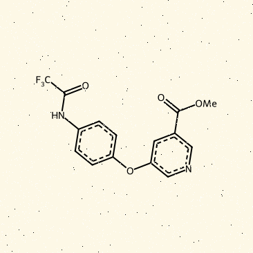 COC(=O)c1cncc(Oc2ccc(NC(=O)C(F)(F)F)cc2)c1